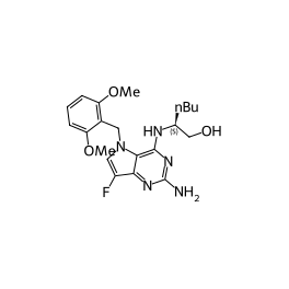 CCCC[C@@H](CO)Nc1nc(N)nc2c(F)cn(Cc3c(OC)cccc3OC)c12